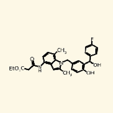 CCOC(=O)CC(=O)Nc1ccc(C)c2c1cc(C)n2Cc1ccc(O)c(C(O)c2ccc(F)cc2)c1